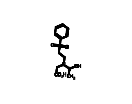 CB(O)N(CCS(=O)(=O)c1ccccc1)CC(=O)O